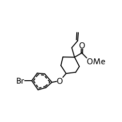 C=CCC1(C(=O)OC)CCC(Oc2ccc(Br)cc2)CC1